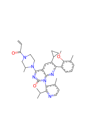 C=CC(=O)N1CCN(c2nc(=O)n(-c3c(C)ccnc3C(C)C)c3nc(-c4cccc(C)c4OC)c(C4CC4)cc23)C(C)C1